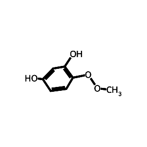 COOc1ccc(O)cc1O